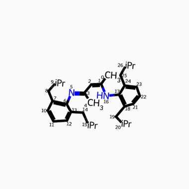 C/C(=C/C(C)=N/c1c(CC(C)C)cccc1CC(C)C)Nc1c(CC(C)C)cccc1CC(C)C